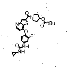 CC(C)(C)C(=O)OC1CCN(C(=O)c2cc3nccc(Oc4ccc(NC(=O)NC5CC5)cc4F)c3s2)CC1